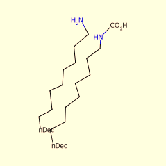 CCCCCCCCCCCCCCCCCCN.CCCCCCCCCCCCCCCCCCNC(=O)O